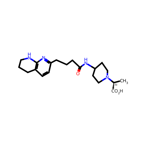 C[C@@H](C(=O)O)N1CCC(NC(=O)CCCc2ccc3c(n2)NCCC3)CC1